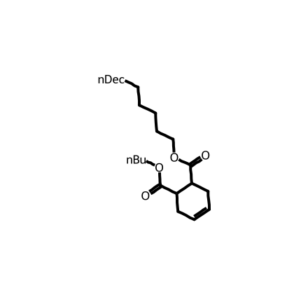 CCCCCCCCCCCCCCCOC(=O)C1CC=CCC1C(=O)OCCCC